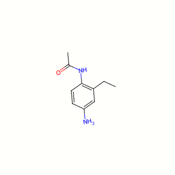 CCc1cc(N)ccc1NC(C)=O